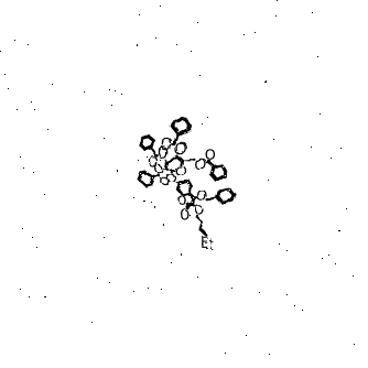 CC/C=C/CCOc1c(OCc2ccccc2)c2ccc(O[C@@H]3O[C@H](COC(=O)c4ccccc4)[C@@H](OC(=O)c4ccccc4)[C@H](OC(=O)c4ccccc4)[C@H]3OC(=O)c3ccccc3)cc2oc1=O